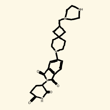 O=C1CCC(N2C(=O)c3ccc(N4CCC5(CC4)CC(CN4CCNCC4)C5)cc3C2=O)C(=O)N1